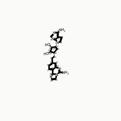 Nc1ncnc2c1ccn2[C@@H]1C[C@H](CCc2ccc3c(c2)nc(N)n2ccnc32)[C@@H](O)[C@H]1O